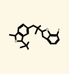 CC1OC(C(C)(C)C)c2cc(CC(C)(C)C3Cc4cccc(F)c4O3)ccc21